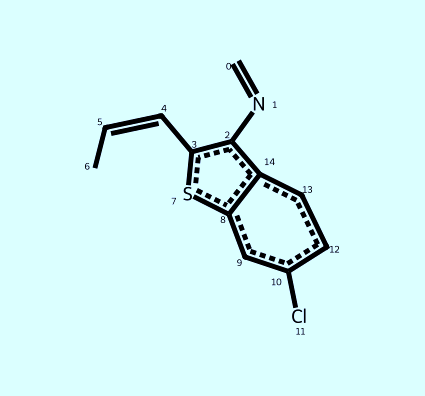 C=Nc1c(/C=C\C)sc2cc(Cl)ccc12